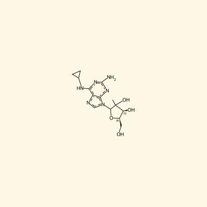 CC1(O)C(n2cnc3c(NC4CC4)nc(N)nc32)O[C@H](CO)[C@@H]1O